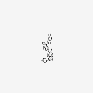 Cc1cnc(NC2CCN(C)CC2)nc1-n1cnc(C(=O)NCc2cccc(Cl)c2)c1